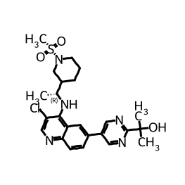 C[C@@H](Nc1c(Cl)cnc2ccc(-c3cnc(C(C)(C)O)nc3)cc12)C1CCCN(S(C)(=O)=O)C1